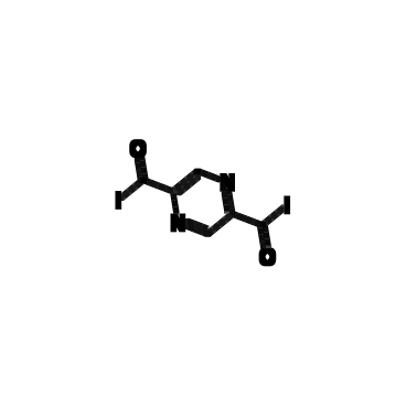 O=C(I)c1cnc(C(=O)I)cn1